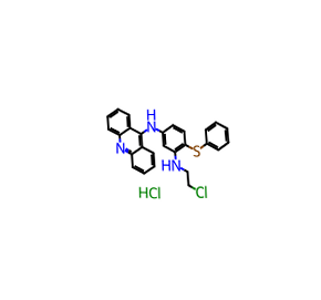 Cl.ClCCNc1cc(Nc2c3ccccc3nc3ccccc23)ccc1Sc1ccccc1